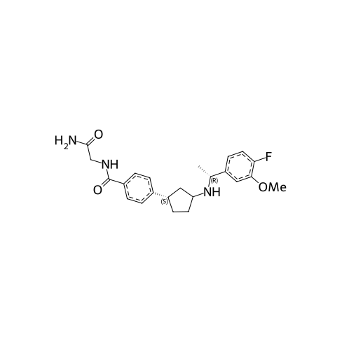 COc1cc([C@@H](C)NC2CC[C@H](c3ccc(C(=O)NCC(N)=O)cc3)C2)ccc1F